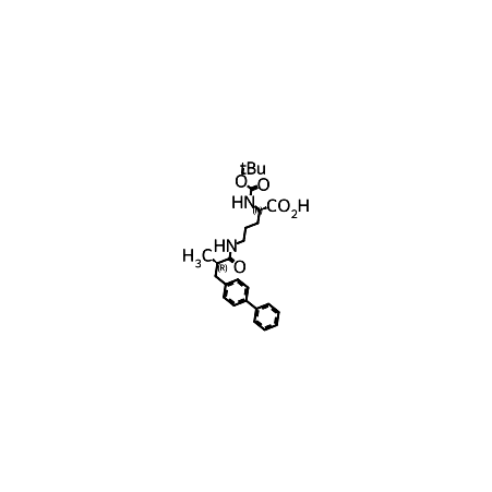 C[C@H](Cc1ccc(-c2ccccc2)cc1)C(=O)NCCC[C@@H](NC(=O)OC(C)(C)C)C(=O)O